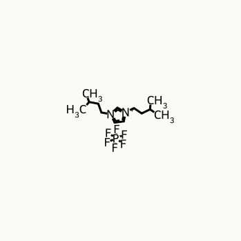 CC(C)CCn1cc[n+](CCC(C)C)c1.F[P-](F)(F)(F)(F)F